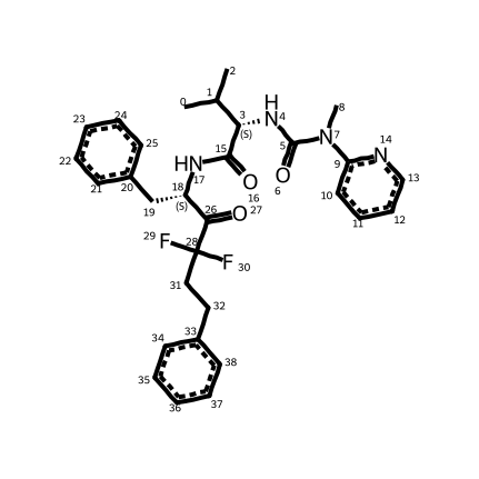 CC(C)[C@H](NC(=O)N(C)c1ccccn1)C(=O)N[C@@H](Cc1ccccc1)C(=O)C(F)(F)CCc1ccccc1